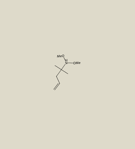 C=CCC(C)(C)[SiH](OC)OC